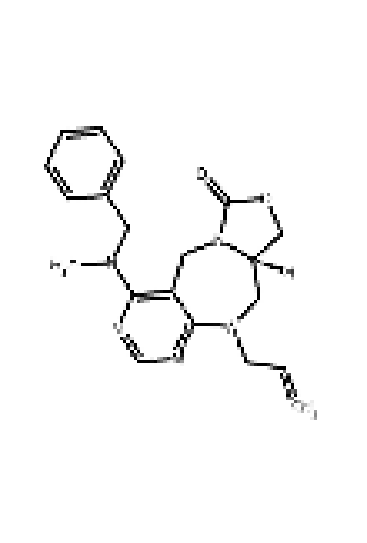 C=CCN1C[C@H]2COC(=O)N2Cc2c(N(C)Cc3ccccc3)ncnc21